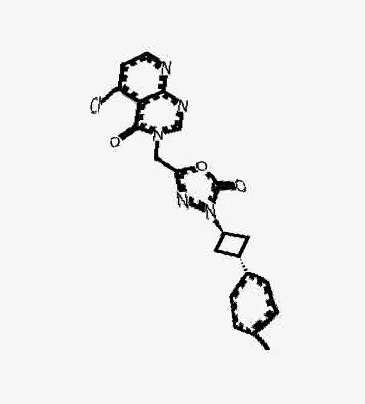 Cc1ccc([C@H]2C[C@H](n3nc(Cn4cnc5nccc(Cl)c5c4=O)oc3=O)C2)cc1